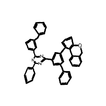 c1ccc(-c2cccc(-c3nc(-c4ccccc4)nc(-c4cc(-c5ccccc5)cc(-c5cccc6c5-c5ccccc5CO6)c4)n3)c2)cc1